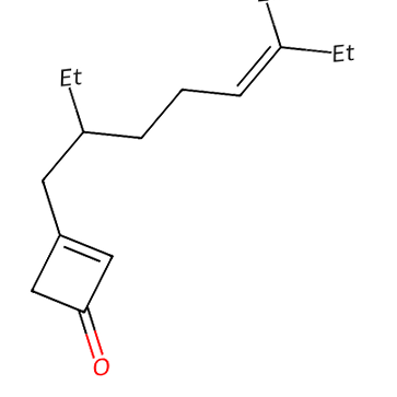 CCC(=CCCC(CC)CC1=CC(=O)C1)CC